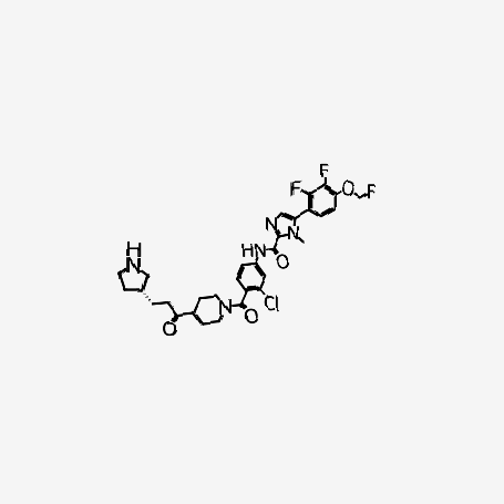 Cn1c(-c2ccc(OCF)c(F)c2F)cnc1C(=O)Nc1ccc(C(=O)N2CCC(C(=O)CC[C@@H]3CCNC3)CC2)c(Cl)c1